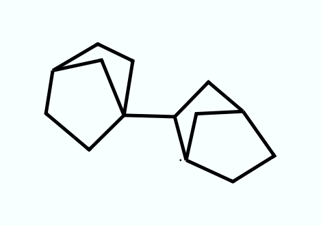 C1CC2C[C]1C(C13CCC(CC1)C3)C2